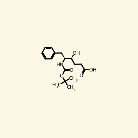 CC(C)(C)OC(=O)N[C@@H](Cc1ccccc1)[C@@H](O)CCC(=O)O